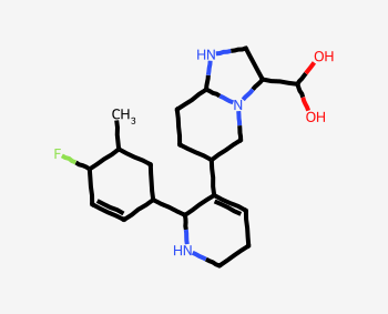 CC1CC(C2NCCC=C2C2CCC3NCC(C(O)O)N3C2)C=CC1F